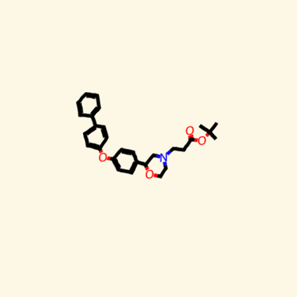 CC(C)(C)OC(=O)CCN1CCOC(c2ccc(Oc3ccc(-c4ccccc4)cc3)cc2)C1